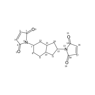 O=C1C=CC(=O)N1C1CCC2CC(N3C(=O)C=CC3=O)CC2C1